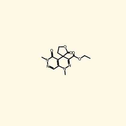 CCOC(=O)C1=NN(C)c2cnn(C)c(=O)c2C12CCOC2=O